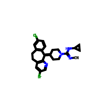 N#CN=C(NC1CC1)N1CCC(=C2c3ccc(Cl)cc3CCc3cc(Br)cnc32)CC1